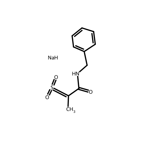 CC(C(=O)NCc1ccccc1)=S(=O)=O.[NaH]